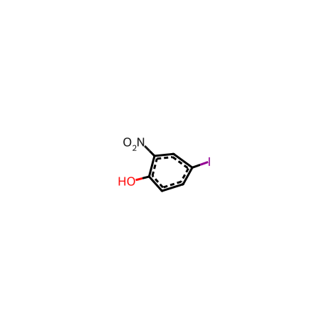 O=[N+]([O-])c1cc(I)ccc1O